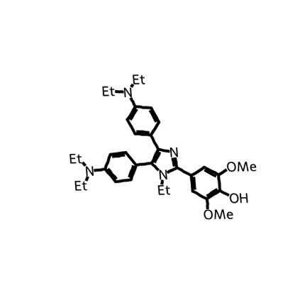 CCN(CC)c1ccc(-c2nc(-c3cc(OC)c(O)c(OC)c3)n(CC)c2-c2ccc(N(CC)CC)cc2)cc1